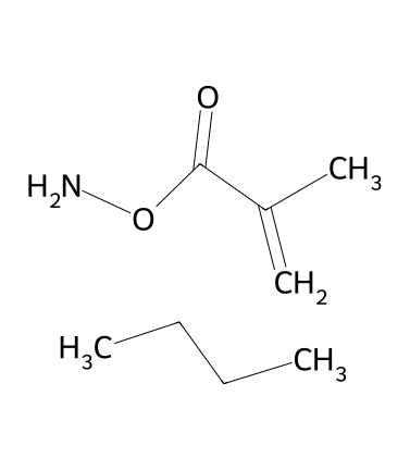 C=C(C)C(=O)ON.CCCC